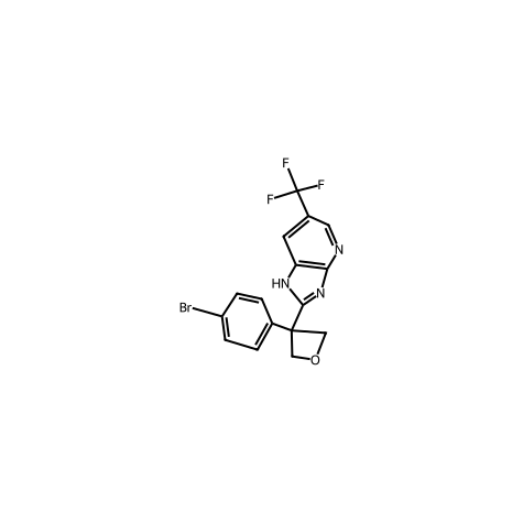 FC(F)(F)c1cnc2nc(C3(c4ccc(Br)cc4)COC3)[nH]c2c1